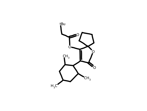 CC1CC(C)C(C2=C(OC(=O)CC(C)(C)C)C3(CCCC3)OC2=O)C(C)C1